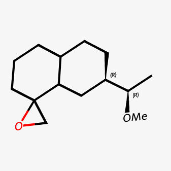 CO[C@H](C)[C@@H]1CCC2CCCC3(CO3)C2C1